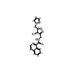 CCC1C(CNC(=O)c2nccc3ccccc23)=NOC1Cn1cccn1